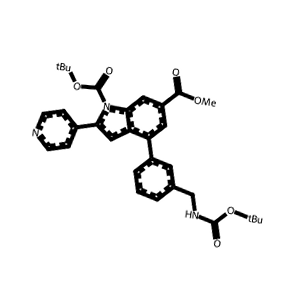 COC(=O)c1cc(-c2cccc(CNC(=O)OC(C)(C)C)c2)c2cc(-c3ccncc3)n(C(=O)OC(C)(C)C)c2c1